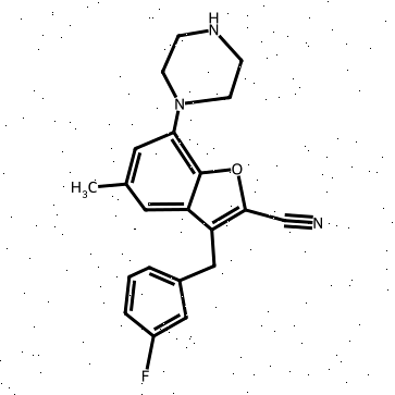 Cc1cc(N2CCNCC2)c2oc(C#N)c(Cc3cccc(F)c3)c2c1